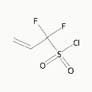 C=CC(F)(F)S(=O)(=O)Cl